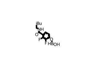 CCC(C)CNC(=O)c1ccc(OBO)c(F)c1F